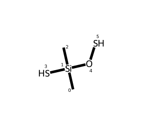 C[Si](C)(S)OS